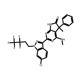 CNc1nc(-c2nn(CCC(F)(F)C(F)(F)F)c3cc(Cl)ccc23)nc2c1C(C)(c1ccccc1)C(=O)N2